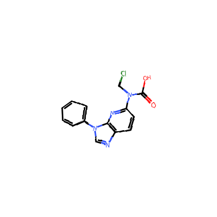 O=C(O)N(CCl)c1ccc2ncn(-c3ccccc3)c2n1